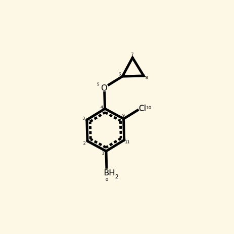 Bc1ccc(OC2CC2)c(Cl)c1